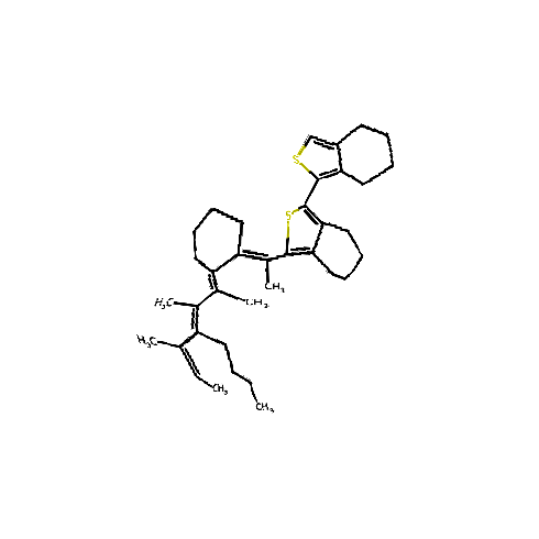 C\C=C(C)/C(CCCC)=C(C)/C(C)=C1\CCCC\C1=C(\C)c1sc(-c2scc3c2CCCC3)c2c1CCCC2